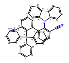 N#Cc1cccc(-c2cccc(C#N)c2[Si](c2ccccc2)(c2ccccc2)c2ccccc2)c1-n1c2ccccc2c2ccccc21